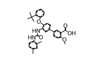 COc1ccc(-c2ccc(Oc3ccccc3C(C)(C)C)c(NC(=O)Nc3ccc(C)cc3C)c2)cc1C(=O)O